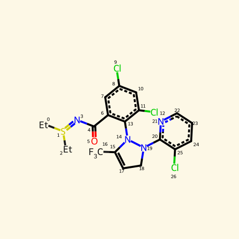 CCS(CC)=NC(=O)c1cc(Cl)cc(Cl)c1N1C(C(F)(F)F)=CCN1c1ncccc1Cl